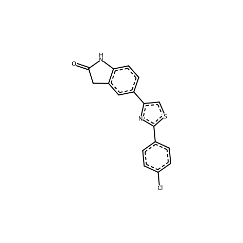 O=C1Cc2cc(-c3csc(-c4ccc(Cl)cc4)n3)ccc2N1